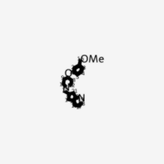 COCc1cccc(OC2CCN(CC3Cc4cccnc4C3)CC2)c1